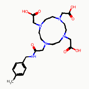 Cc1ccc(CNC(=O)CN2CCN(CC(=O)O)CCN(CC(=O)O)CCN(CC(=O)O)CC2)cc1